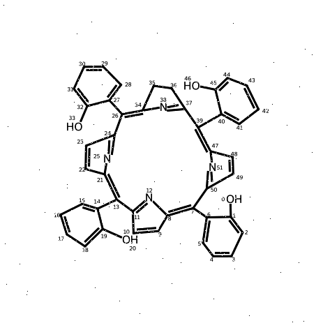 Oc1ccccc1C1=C2C=CC(=N2)C(c2ccccc2O)=C2C=CC(=N2)C(c2ccccc2O)=C2CCC(=N2)C(c2ccccc2O)=C2C=CC1=N2